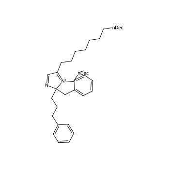 CCCCCCCCCCCCCCCCCC1=[N+](CCCCCCCCCCC)C(CCCc2ccccc2)(Cc2ccccc2)N=C1